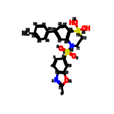 Cc1nc2ccc(S(=O)(=O)N3CCS(O)(O)c4ccc(-c5ccc(C#N)cc5)cc43)cc2o1